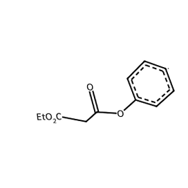 CCOC(=O)CC(=O)Oc1cc[c]cc1